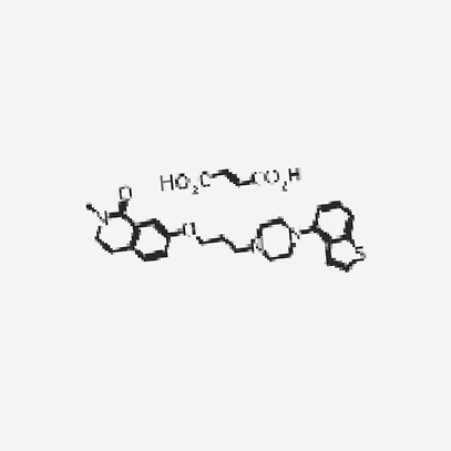 CN1CCc2ccc(OCCCN3CCN(c4cccc5sccc45)CC3)cc2C1=O.O=C(O)C=CC(=O)O